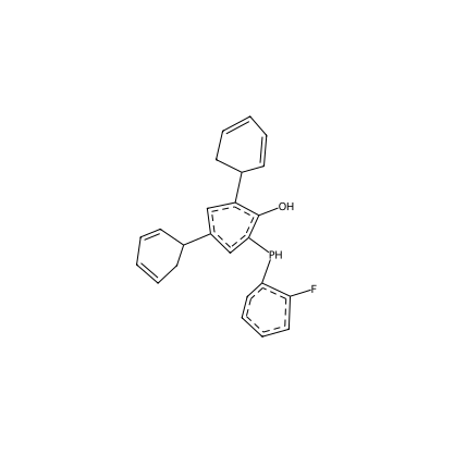 Oc1c(Pc2ccccc2F)cc(C2C=CC=CC2)cc1C1C=CC=CC1